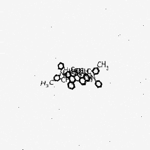 Cc1ccc(N(c2ccccc2)c2ccc3c4c(ccc3c2)-c2c(c3ccc(N(c5ccccc5)c5ccc(C)cc5C)cc3c3ccccc23)C4([Si](C)(C)C)[Si](C)(C)C)c(C)c1